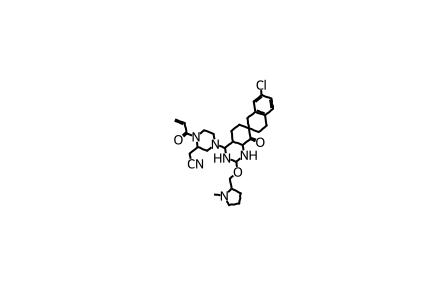 C=CC(=O)N1CCN(C2NC(OCC3CCCN3C)NC3C(=O)C4(CCc5ccc(Cl)cc5C4)CCC32)CC1CC#N